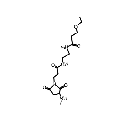 CCOCCC(=O)NCCNC(=O)CCN1C(=O)CC(NC)C1=O